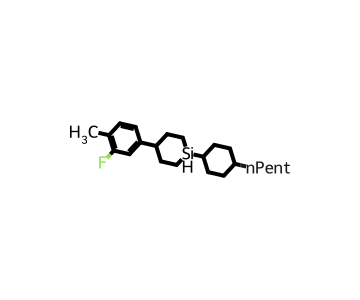 CCCCCC1CCC([SiH]2CCC(c3ccc(C)c(F)c3)CC2)CC1